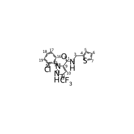 O=C(NCc1cccs1)C1=CC(C(F)(F)F)NN1c1ccccc1Cl